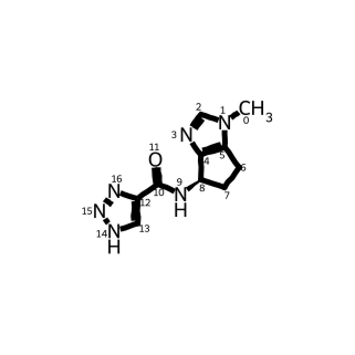 Cn1cnc2c1CC[C@H]2NC(=O)c1c[nH]nn1